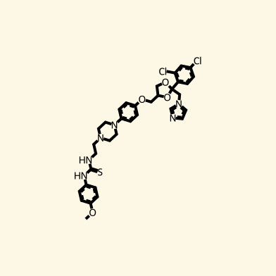 COc1ccc(NC(=S)NCCN2CCN(c3ccc(OCC4COC(Cn5ccnc5)(c5ccc(Cl)cc5Cl)O4)cc3)CC2)cc1